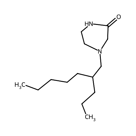 CCCCCC(CCC)CN1CCNC(=O)C1